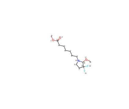 COC(=O)CCCCCCN1CCC(F)(F)C1OC